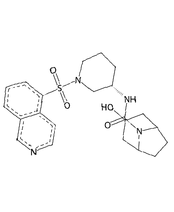 O=C(N[C@H]1CCCN(S(=O)(=O)c2cccc3cnccc23)C1)N1C2CCC1CC(O)C2